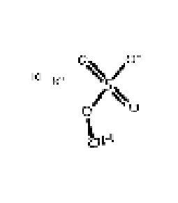 O=S(=O)([O-])OO.[K+].[KH]